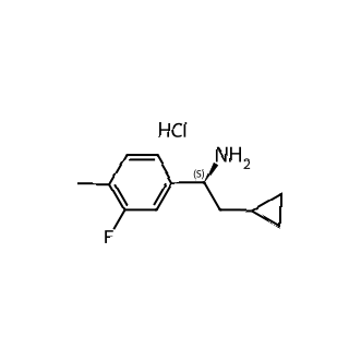 Cc1ccc([C@@H](N)CC2CC2)cc1F.Cl